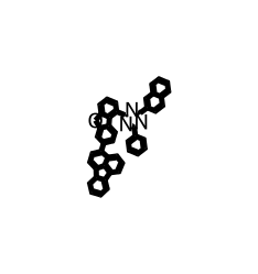 C1=CCC2C(=C1)c1cccc3c(-c4ccc5c(c4)oc4cccc(-c6nc(-c7ccccc7)nc(-c7ccc8ccccc8c7)n6)c45)ccc2c13